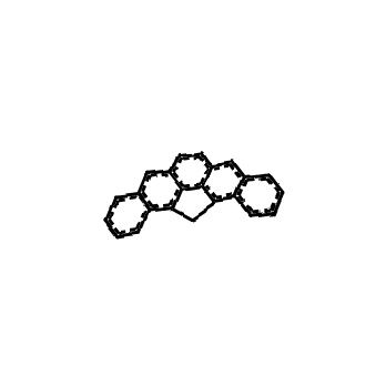 c1ccc2c3c4c(ccc5cc6ccccc6c(c54)C3)cc2c1